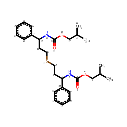 CC(C)COC(=O)NC(CCSCCC(NC(=O)OCC(C)C)c1ccccc1)c1ccccc1